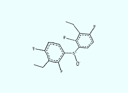 CCc1c(F)ccc([S+]([O-])c2ccc(F)c(CC)c2F)c1F